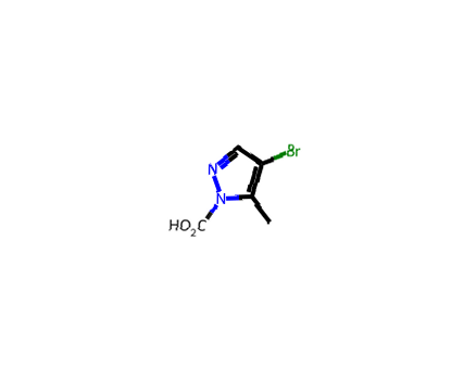 Cc1c(Br)cnn1C(=O)O